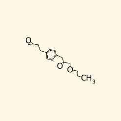 CCCOCC(=O)Cc1ccc(CC[C@H]2CO2)cc1